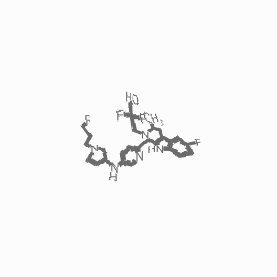 CC1Cc2c([nH]c3ccc(F)cc23)C(c2ccc(NC3CCN(CCCF)C3)cn2)N1CC(F)(F)CO